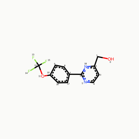 OCc1ccnc(-c2ccc(OC(F)(F)F)cc2)n1